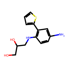 Nc1ccc(NCC(O)CO)c(-c2cccs2)c1